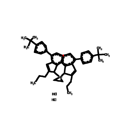 CCCC1=Cc2c(-c3ccc(C(C)(C)C)cc3)cccc2[CH]1[Hf]1([CH]2C(CCC)=Cc3c(-c4ccc(C(C)(C)C)cc4)cccc32)[CH2][CH2]1.Cl.Cl